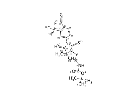 CC(C)(C)OC(=O)NCCN1C(=S)N(c2ccc(C#N)c(C(F)(F)F)c2)C(=N)C1(C)C